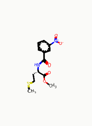 COC(=O)[C@H](CCSC)NC(=O)c1cccc([N+](=O)[O-])c1